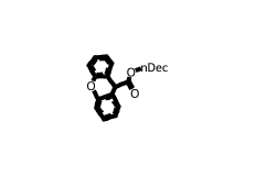 CCCCCCCCCCOC(=O)C1c2ccccc2Oc2ccccc21